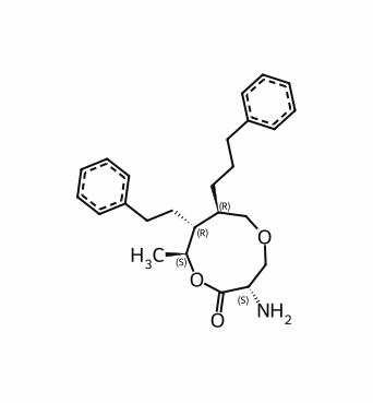 C[C@@H]1OC(=O)[C@@H](N)COC[C@H](CCCc2ccccc2)[C@H]1CCc1ccccc1